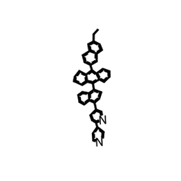 CCc1ccc2cc(-c3c4ccccc4c(-c4ccc(-c5ccc(-c6ccncc6)nc5)c5ccccc45)c4ccccc34)ccc2c1